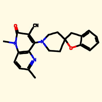 Cc1ccc2c(n1)c(N1CCC3(CC1)Cc1ccccc1O3)c(C#N)c(=O)n2C